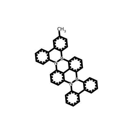 Cc1ccc2c(c1)-c1ccccc1N1B2c2cccc3c2-c2c(cccc21)N1B3c2ccccc2-c2ccccc21